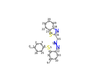 Cc1ccc(Sc2cc(C)ccc2N=NCc2nc3ccccc3s2)cc1